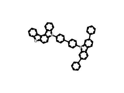 c1ccc(-c2ccc3c4ccc(-c5ccccc5)cc4n(-c4ccc(-c5ccc(-n6c7ccccc7c7c8c(ccc76)oc6ccccc68)cc5)cc4)c3c2)cc1